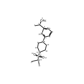 CC(=O)O[C@H](C)c1nccc(N2CCN(S(=O)(=O)N(C)C)CC2)n1